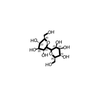 OC[C@H]1OC([C]2O[C@H](CO)[C@@H](O)[C@H](O)[C@H]2O)[C@@H](O)[C@@H](O)[C@@H]1O